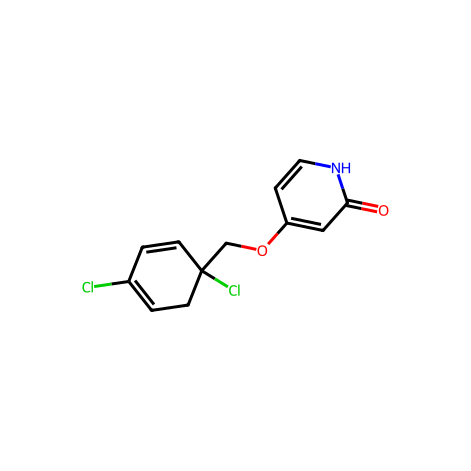 O=c1cc(OCC2(Cl)C=CC(Cl)=CC2)cc[nH]1